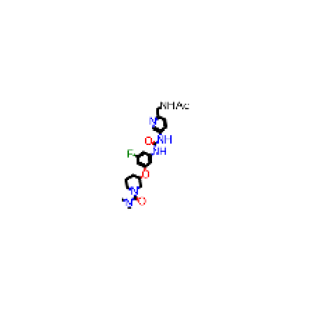 CC(=O)NCc1ccc(NC(=O)Nc2cc(F)cc(OC3CCCN(C(=O)N(C)C)C3)c2)cn1